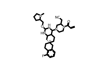 C=CC(=O)N1CCN(C2NC(OCC3CCCN3C)NC3C[C@]4(CCc5c(F)cccc5C4)CCC32)CC1CC#N